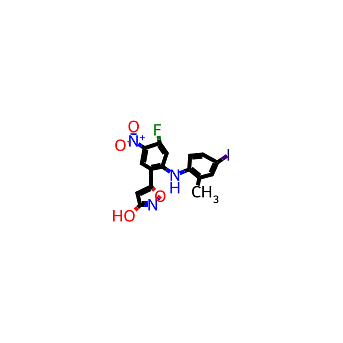 Cc1cc(I)ccc1Nc1cc(F)c([N+](=O)[O-])cc1-c1cc(O)no1